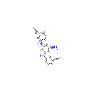 C#Cc1cccc(Nc2cc(N)cc(Nc3cccc(C#C)c3)c2)c1